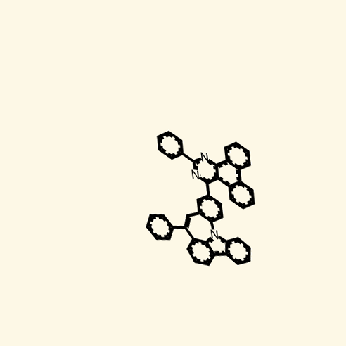 C1=C(c2ccccc2)c2cccc3c4ccccc4n(c23)-c2ccc(-c3nc(-c4ccccc4)nc4c5ccccc5c5ccccc5c34)cc21